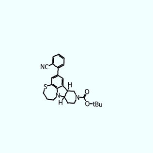 CC(C)(C)OC(=O)N1CC[C@H]2[C@@H](C1)c1cc(-c3ccccc3C#N)cc3c1N2CCCS3